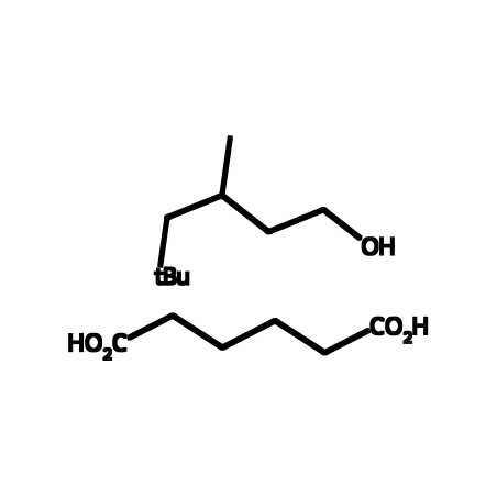 CC(CCO)CC(C)(C)C.O=C(O)CCCCC(=O)O